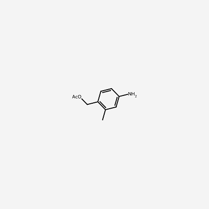 CC(=O)OCc1ccc(N)cc1C